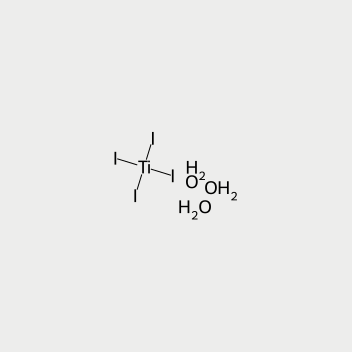 O.O.O.[I][Ti]([I])([I])[I]